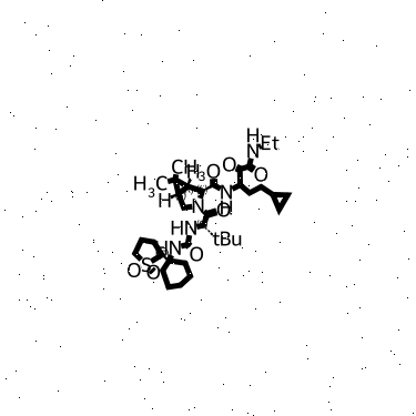 CCNC(=O)C(=O)C(CCC1CC1)NC(=O)[C@@H]1[C@@H]2[C@H](CN1C(=O)[C@@H](NC(=O)NC1([C@@H]3CCCS3(=O)=O)CCCCC1)C(C)(C)C)C2(C)C